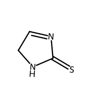 S=C1N=CCN1